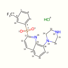 Cl.O=S(=O)(c1cccc(C(F)(F)F)c1)c1ccc2cccc(N3CCNCC3)c2n1